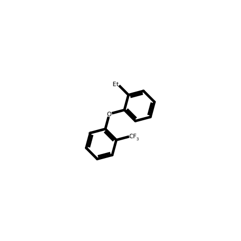 CCc1ccccc1Oc1[c]cccc1C(F)(F)F